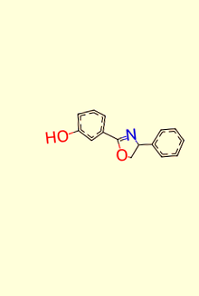 Oc1cccc(C2=NC(c3ccccc3)CO2)c1